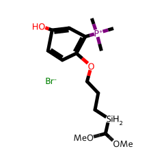 COC(OC)[SiH2]CCCOc1ccc(O)cc1[P+](C)(C)C.[Br-]